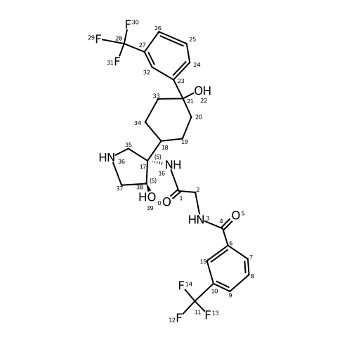 O=C(CNC(=O)c1cccc(C(F)(F)F)c1)N[C@@]1(C2CCC(O)(c3cccc(C(F)(F)F)c3)CC2)CNC[C@@H]1O